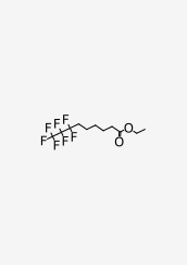 CCOC(=O)CCCCCC(F)(F)C(F)(F)C(F)(F)F